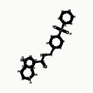 O=C(NCc1ccc(S(=O)(=O)c2ccccc2)cc1)c1c[nH]c2ccncc12